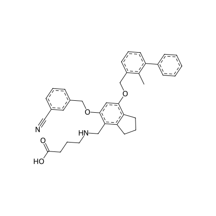 Cc1c(COc2cc(OCc3cccc(C#N)c3)c(CNCCCC(=O)O)c3c2CCC3)cccc1-c1ccccc1